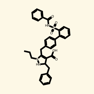 CCCN1NC(Cc2ccccc2)C(C(=O)O)=C1Cc1ccc(-c2ccccc2S(=O)(=O)NC(=O)c2ccccc2)cc1